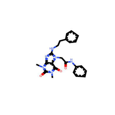 Cn1c(=O)c2c(nc(NCCc3ccccc3)n2CC(=O)Nc2ccccc2)n(C)c1=O